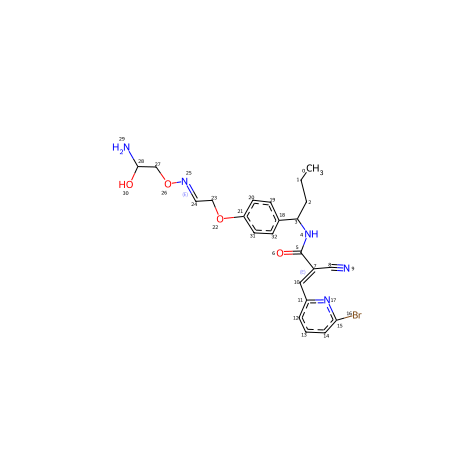 CCCC(NC(=O)/C(C#N)=C/c1cccc(Br)n1)c1ccc(OC/C=N/OCC(N)O)cc1